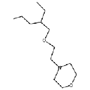 CCCC(CC)COCCN1CCOCC1